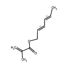 C=C(C)C(=O)OC/C=C/C=C/C